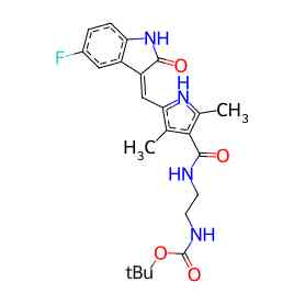 Cc1[nH]c(C=C2C(=O)Nc3ccc(F)cc32)c(C)c1C(=O)NCCNC(=O)OC(C)(C)C